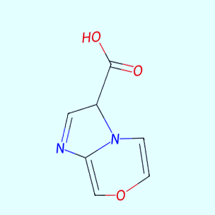 O=C(O)C1C=NC2=COC=CN21